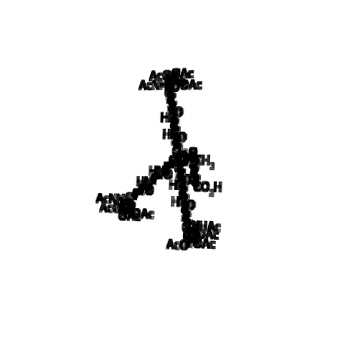 CC(=O)N[C@H]1[C@H](OCCCCC(=O)NCCCNC(=O)CCOC2[C@H](OCCC(=O)NCCCNC(=O)CCCCO[C@@H]3O[C@H](COC(C)=O)[C@H](OC(C)=O)[C@H](OC(C)=O)[C@H]3NC(C)=O)CC(C(=O)N(C)CCCCCC(=O)O)C[C@H]2OCCC(=O)NCCCNC(=O)CCCCO[C@@H]2O[C@H](COC(C)=O)[C@H](OC(C)=O)[C@H](OC(C)=O)[C@H]2NC(C)=O)O[C@H](COC(C)=O)[C@H](OC(C)=O)[C@@H]1OC(C)=O